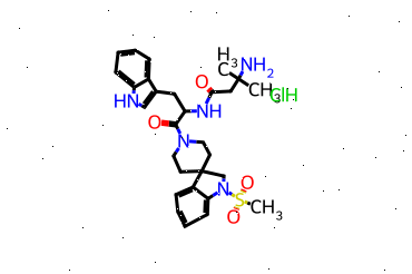 CC(C)(N)CC(=O)NC(Cc1c[nH]c2ccccc12)C(=O)N1CCC2(CC1)CN(S(C)(=O)=O)c1ccccc12.Cl